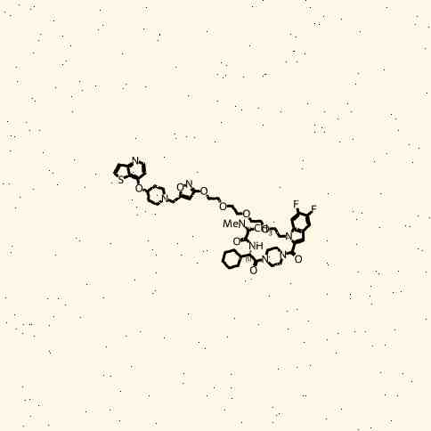 CN[C@@H](C)C(=O)N[C@H](C(=O)N1CCN(C(=O)c2cc3cc(F)c(F)cc3n2CCOCCOCCOCCOc2cc(CN3CCC(Oc4ccnc5ccsc45)CC3)on2)CC1)C1CCCCC1